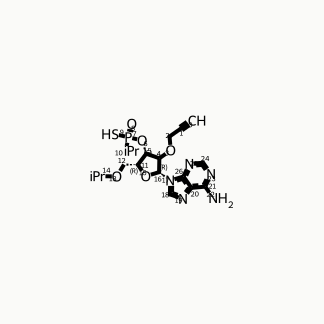 C#CCOC1[C@@H](OP(=O)(S)C(C)C)[C@@H](COC(C)C)O[C@H]1n1cnc2c(N)ncnc21